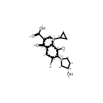 O=C(O)c1cn(C2CC2)c2c(Cl)c(N3CC[C@H](O)C3)c(F)cc2c1=O